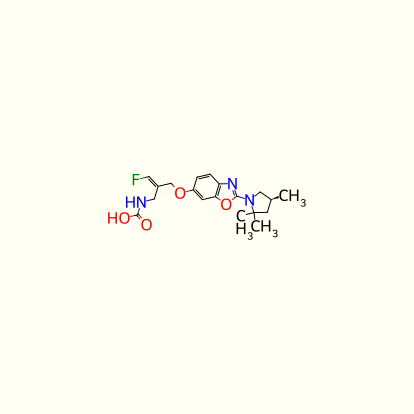 C[C@@H]1CN(c2nc3ccc(OC/C(=C/F)CNC(=O)O)cc3o2)C(C)(C)C1